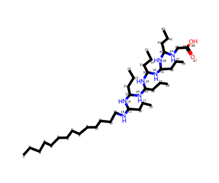 CCCCCCCCCCCCCCNC(CCC)NC(CCC)NC(CCC)NC(CCC)NC(CCC)NC(CCC)NCC(=O)O